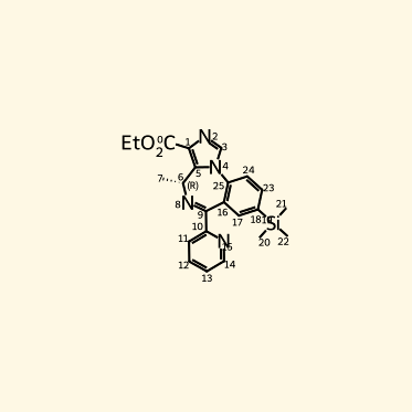 CCOC(=O)c1ncn2c1[C@@H](C)N=C(c1ccccn1)c1cc([Si](C)(C)C)ccc1-2